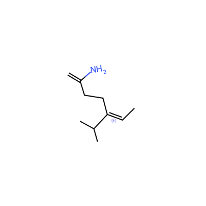 C=C(N)CC/C(=C\C)C(C)C